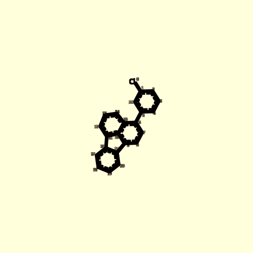 Clc1cccc(-c2ccc3c4c(cccc24)-c2ccccc2-3)c1